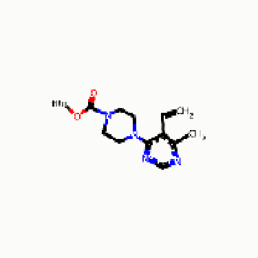 C=Cc1c(C)ncnc1N1CCN(C(=O)OC(C)(C)C)CC1